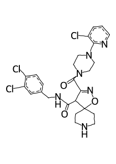 O=C(NCc1ccc(Cl)c(Cl)c1)C1C(C(=O)N2CCN(c3ncccc3Cl)CC2)=NOC12CCNCC2